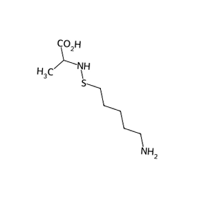 CC(NSCCCCCN)C(=O)O